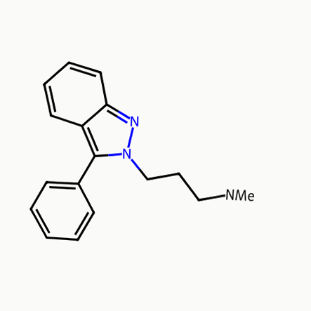 CNCCCn1nc2ccccc2c1-c1ccccc1